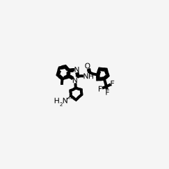 Cc1cccc2nc(NC(=O)c3cccc(C(F)(F)F)c3)n(C3CCC[C@H](N)C3)c12